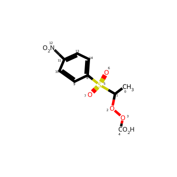 CC(OOC(=O)O)S(=O)(=O)c1ccc([N+](=O)[O-])cc1